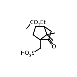 CC1(C)C2CCC1(CS(=O)(=O)O)C(=O)C2.CCOC(C)=O